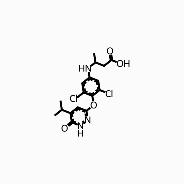 CC(CC(=O)O)Nc1cc(Cl)c(Oc2cc(C(C)C)c(=O)[nH]n2)c(Cl)c1